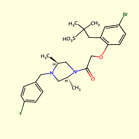 C[C@@H]1CN(Cc2ccc(F)cc2)[C@@H](C)CN1C(=O)COc1ccc(Br)cc1CC(C)(C)S(=O)(=O)O